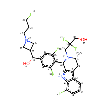 C[C@@H]1Cc2c([nH]c3c(F)cccc23)[C@@H](c2c(F)cc([C@H](O)C3CN(CCCF)C3)cc2F)N1CC(F)(F)CO